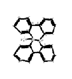 N[Si]12c3ccccc3-c3ccccc3N1c1ccccc1-c1ccccc12